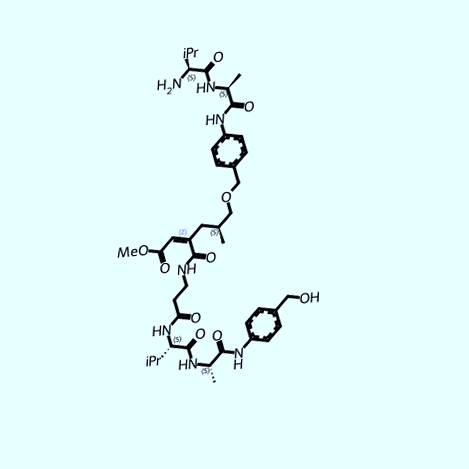 COC(=O)/C=C(/C[C@H](C)COCc1ccc(NC(=O)[C@H](C)NC(=O)[C@@H](N)C(C)C)cc1)C(=O)NCCC(=O)N[C@H](C(=O)N[C@@H](C)C(=O)Nc1ccc(CO)cc1)C(C)C